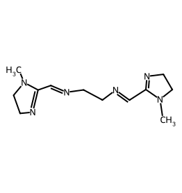 CN1CCN=C1/C=N/CC/N=C/C1=NCCN1C